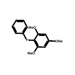 COc1cc(OC)c([I+]c2ccccc2)c(OC)c1